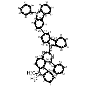 C[Si]1(C)c2ccccc2-c2c1ccc1nc(-n3c4ccccc4c4cc(-c5ccc6c(c5)c5ccccc5n6-c5ccccc5)ccc43)nc(-c3ccccc3)c21